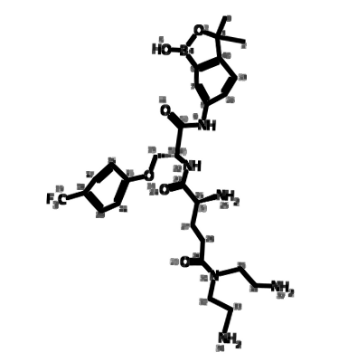 CC1(C)OB(O)c2cc(NC(=O)[C@@H](COc3ccc(C(F)(F)F)cc3)NC(=O)[C@@H](N)CCC(=O)N(CCN)CCN)ccc21